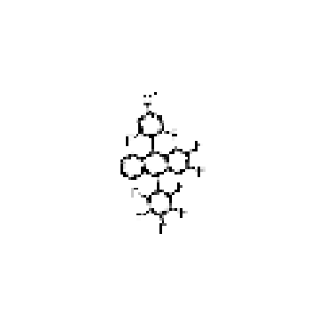 COc1cc(F)c(-c2c3ccccc3c(-c3c(F)c(F)c(F)c(F)c3F)c3cc(F)c(F)cc23)c(F)c1